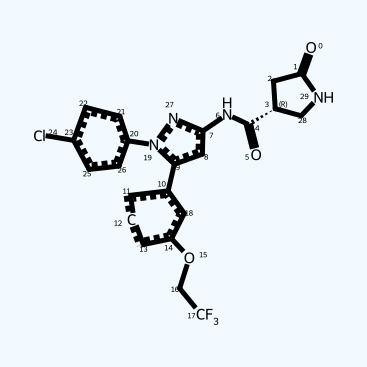 O=C1C[C@@H](C(=O)Nc2cc(-c3cccc(OCC(F)(F)F)c3)n(-c3ccc(Cl)cc3)n2)CN1